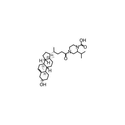 CC(C)C1CN(C(=O)CCC(C)[C@H]2CC[C@H]3[C@@H]4CC=C5C[C@@H](O)CC[C@]5(C)[C@H]4CC[C@]23C)CCN1C(=O)O